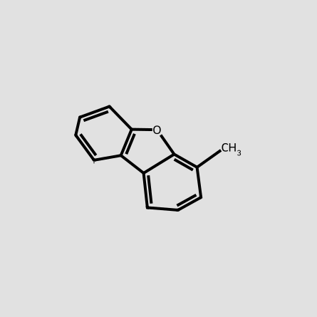 Cc1cccc2c1oc1ccc[c]c12